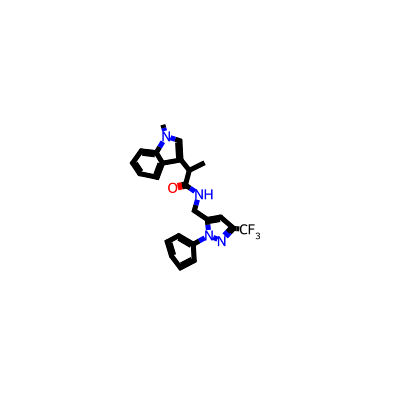 CC(C(=O)NCc1cc(C(F)(F)F)nn1-c1ccccc1)c1cn(C)c2ccccc12